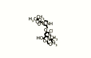 CC(C)(C)OC(=O)N1CCNC(COc2cc(C(=O)O)c(N3CCOCC3(C)C)nc2Cl)C1